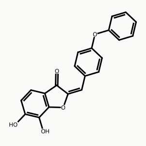 O=C1/C(=C\c2ccc(Oc3ccccc3)cc2)Oc2c1ccc(O)c2O